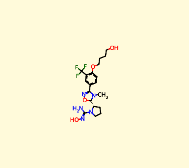 CN1C(c2ccc(OCCCCO)c(C(F)(F)F)c2)=NOC1[C@@H]1CCCN1/C(N)=N/O